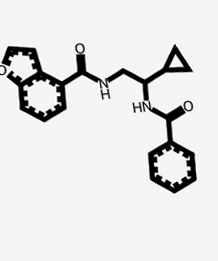 O=C(NC(CNC(=O)c1cccc2occc12)C1CC1)c1ccccc1